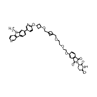 Cn1c2ccncc2c2ccc(-c3ccc(O[C@H]4C[C@H](OCC56CC(COCCOCCOc7ccc8c(c7)C(=O)N(C7CCC(=O)NC7=O)C8=O)(C5)C6)C4)nc3)cc21